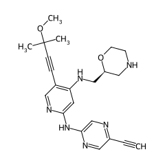 C#Cc1cnc(Nc2cc(NC[C@@H]3CNCCO3)c(C#CC(C)(C)OC)cn2)cn1